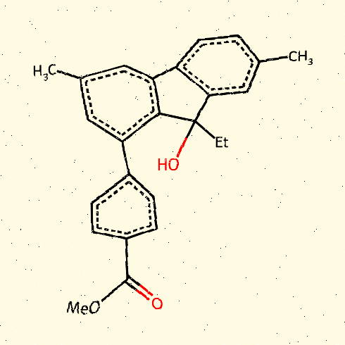 CCC1(O)c2cc(C)ccc2-c2cc(C)cc(-c3ccc(C(=O)OC)cc3)c21